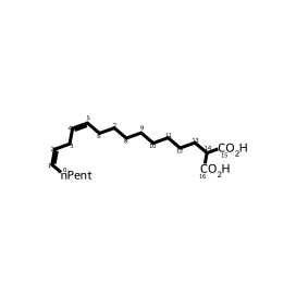 CCCCC/C=C\C/C=C\CCCCCCCCC(C(=O)O)C(=O)O